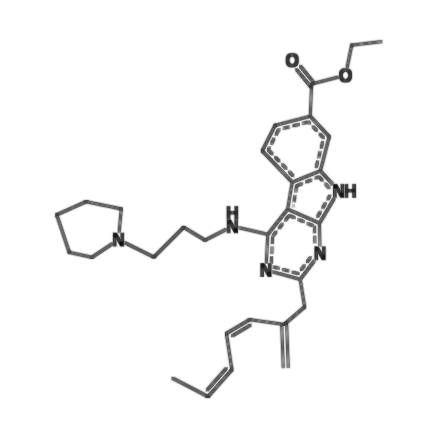 C=C(/C=C\C=C/C)Cc1nc(NCCCN2CCCCC2)c2c(n1)[nH]c1cc(C(=O)OCC)ccc12